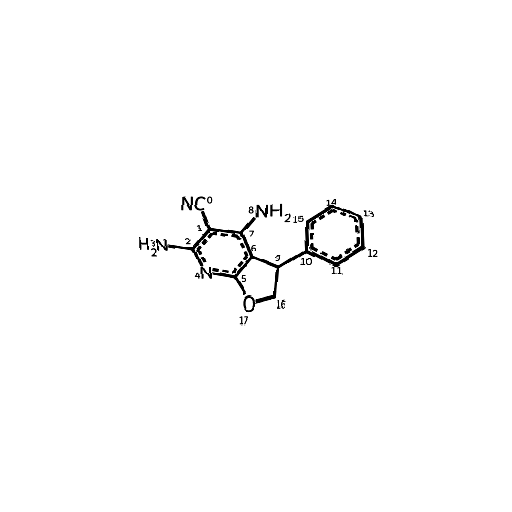 N#Cc1c(N)nc2c(c1N)C(c1ccccc1)CO2